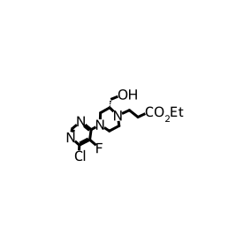 CCOC(=O)CCN1CCN(c2ncnc(Cl)c2F)C[C@@H]1CO